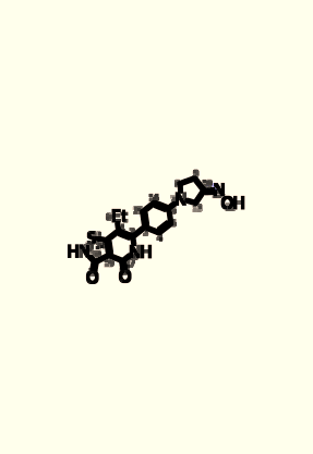 CCc1c(-c2ccc(N3CC/C(=N/O)C3)cc2)[nH]c(=O)c2c(=O)[nH]sc12